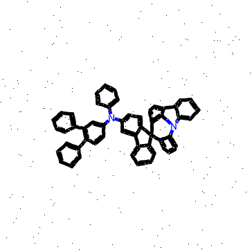 c1ccc(-c2ccc(N(c3ccccc3)c3ccc4c(c3)-c3ccccc3C43c4ccccc4-n4c5ccccc5c5cccc3c54)cc2-c2ccccc2)cc1